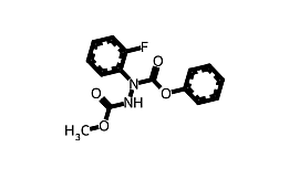 COC(=O)NN(C(=O)Oc1ccccc1)c1ccccc1F